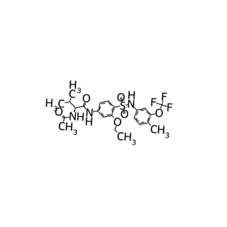 CCOc1cc(NC(=O)[C@@H](NC(C)=O)C(C)C)ccc1S(=O)(=O)Nc1ccc(C)c(OC(F)(F)F)c1